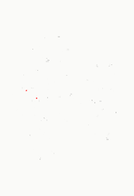 c1ccc(N(c2ccccc2)c2cc3c4ccccc4n(-c4ccccc4)c3cc2-c2cccc3c2sc2ccccc23)cc1